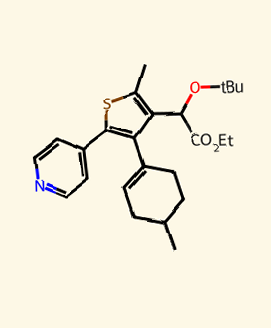 CCOC(=O)C(OC(C)(C)C)c1c(C)sc(-c2ccncc2)c1C1=CCC(C)CC1